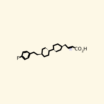 O=C(O)/C=C/C[C@H]1CC[C@H]([C@H]2CC[C@H](CCc3ccc(F)cc3)CC2)CC1